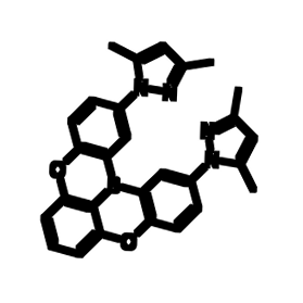 Cc1cc(C)n(-c2ccc3c(c2)B2c4cc(-n5nc(C)cc5C)ccc4Oc4cccc(c42)O3)n1